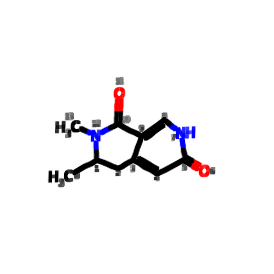 CC1Cc2cc(=O)[nH]cc2C(=O)N1C